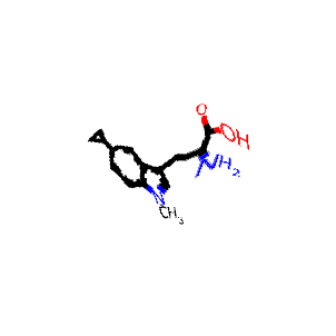 Cn1cc(CC(N)C(=O)O)c2cc(C3CC3)ccc21